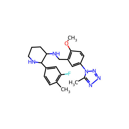 COc1ccc(-n2nnnc2C)cc1CNC1CCCNC1c1ccc(C)c(F)c1